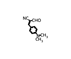 CN(C)c1ccc(C=C(C#N)C=O)cc1